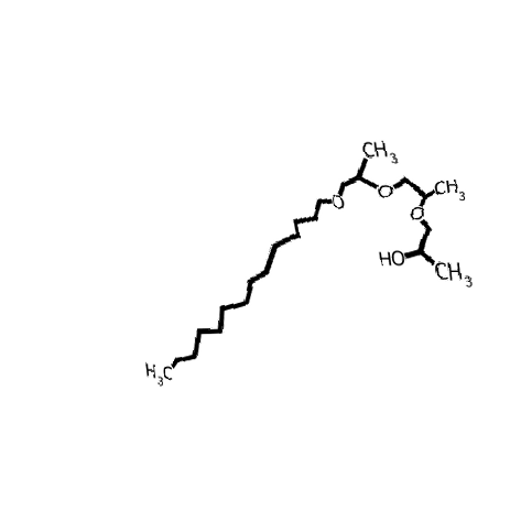 CCCCCCCCCCCCCCOCC(C)OCC(C)OCC(C)O